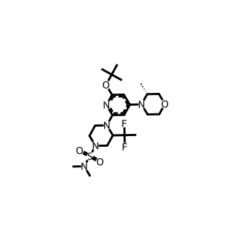 C[C@@H]1COCCN1c1cc(OC(C)(C)C)nc(N2CCN(S(=O)(=O)N(C)C)CC2C(C)(F)F)c1